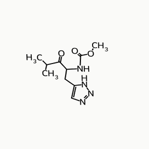 COC(=O)NC(Cc1cnn[nH]1)C(=O)C(C)C